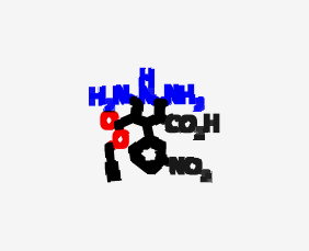 C#CCOC(=O)C1=C(N)NC(N)=C(C(=O)O)C1c1cccc([N+](=O)[O-])c1